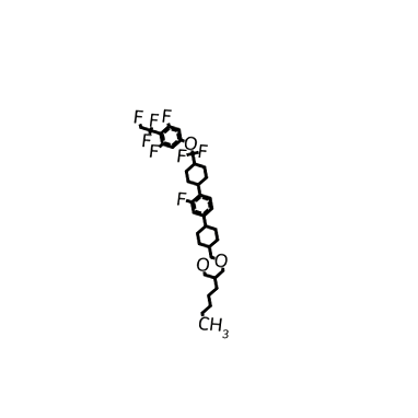 CCCCCC1COC(C2CCC(c3ccc(C4CCC(C(F)(F)Oc5cc(F)c(C(F)(F)CF)c(F)c5)CC4)c(F)c3)CC2)OC1